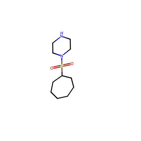 O=S(=O)(C1CCCCCC1)N1CCNCC1